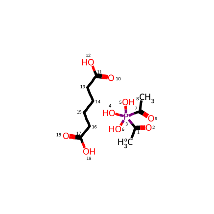 CC(=O)P(O)(O)(O)C(C)=O.O=C(O)CCCCC(=O)O